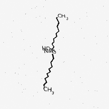 CCCCCCCCCCCCOC(O)CCCCCCCCCCC.[NaH]